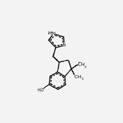 CC1(C)CC(Cc2c[nH]cn2)c2cc(O)ccc21